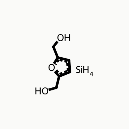 OCc1ccc(CO)o1.[SiH4]